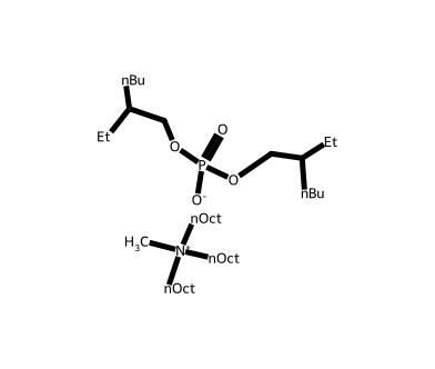 CCCCC(CC)COP(=O)([O-])OCC(CC)CCCC.CCCCCCCC[N+](C)(CCCCCCCC)CCCCCCCC